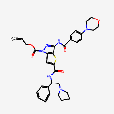 C=CCOC(=O)n1nc(NC(=O)c2ccc(N3CCOCC3)cc2)c2sc(C(=O)N[C@H](CN3CCCC3)c3ccccc3)cc21